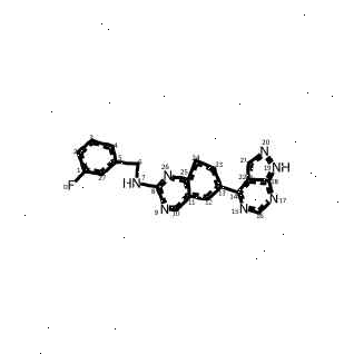 Fc1cccc(CNc2ncc3cc(-c4ncnc5[nH]ncc45)ccc3n2)c1